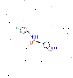 O=C(C#Cc1ccc2[nH]ccc2c1)NCCc1ccc(F)cc1